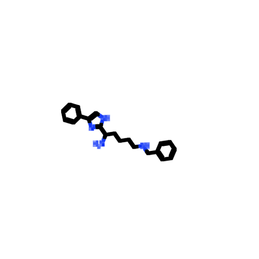 NC(CCCCNCc1ccccc1)c1nc(-c2ccccc2)c[nH]1